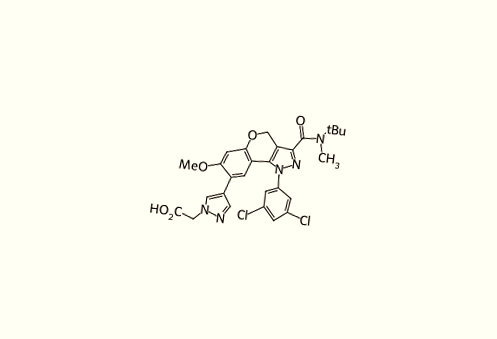 COc1cc2c(cc1-c1cnn(CC(=O)O)c1)-c1c(c(C(=O)N(C)C(C)(C)C)nn1-c1cc(Cl)cc(Cl)c1)CO2